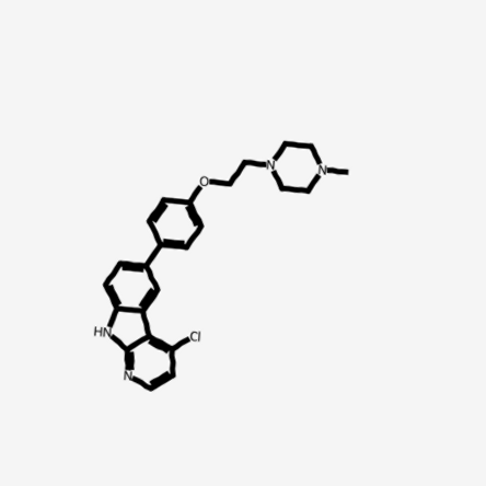 CN1CCN(CCOc2ccc(-c3ccc4[nH]c5nccc(Cl)c5c4c3)cc2)CC1